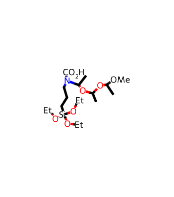 CCO[Si](CCCN(C(=O)O)C(C)OC(C)OC(C)OC)(OCC)OCC